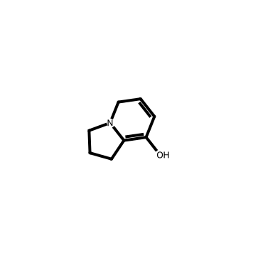 OC1=C2CCCN2CC=C1